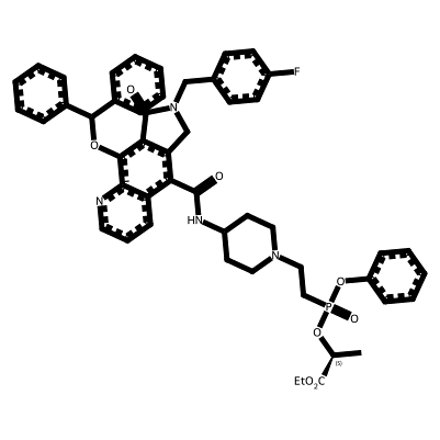 CCOC(=O)[C@H](C)OP(=O)(CCN1CCC(NC(=O)c2c3c(c(OC(c4ccccc4)c4ccccc4)c4ncccc24)C(=O)N(Cc2ccc(F)cc2)C3)CC1)Oc1ccccc1